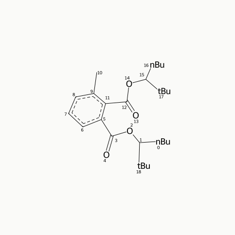 CCCCC(OC(=O)c1cccc(C)c1C(=O)OC(CCCC)C(C)(C)C)C(C)(C)C